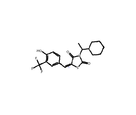 CC(C1CCCCC1)N1C(=O)S/C(=C/c2ccc(O)c(C(F)(F)F)c2)C1=O